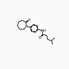 CC(C)CCC(=O)Nc1ccc(N2CCCCCC2=O)cc1